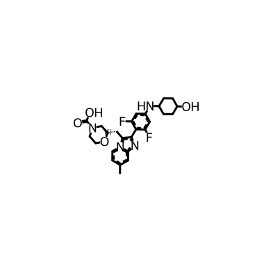 Cc1ccn2c(C[C@H]3CN(C(=O)O)CCO3)c(-c3c(F)cc(NC4CCC(O)CC4)cc3F)nc2c1